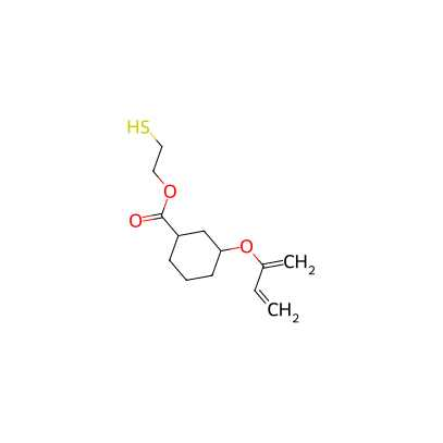 C=CC(=C)OC1CCCC(C(=O)OCCS)C1